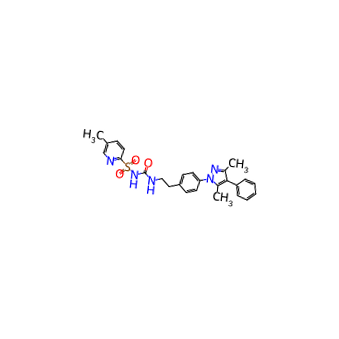 Cc1ccc(S(=O)(=O)NC(=O)NCCc2ccc(-n3nc(C)c(-c4ccccc4)c3C)cc2)nc1